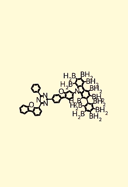 Bc1c(B)c(B)c(-c2c(B)c(B)c3c4c(B)c(B)c(B)c(B)c4n(-c4ccc5c(c4)oc4cc(-c6nc(-c7ccccc7)nc(-c7cccc8c7oc7ccccc78)n6)ccc45)c3c2B)c(B)c1B